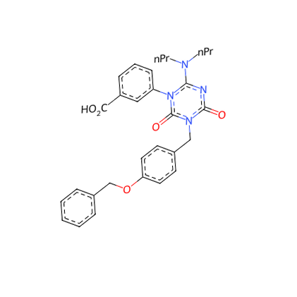 CCCN(CCC)c1nc(=O)n(Cc2ccc(OCc3ccccc3)cc2)c(=O)n1-c1cccc(C(=O)O)c1